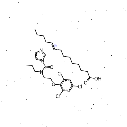 CCCC/C=C/CCCCCCCC(=O)O.CCCN(CCOc1c(Cl)cc(Cl)cc1Cl)C(=O)n1ccnc1